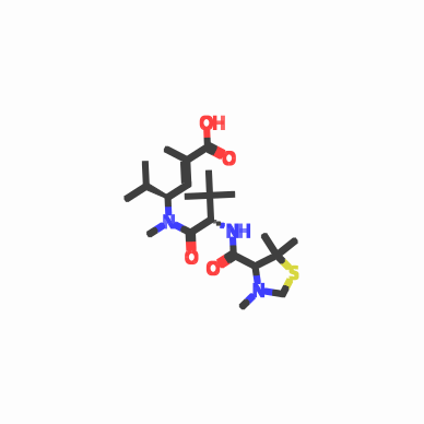 C/C(=C\[C@H](C(C)C)N(C)C(=O)[C@@H](NC(=O)C1N(C)CSC1(C)C)C(C)(C)C)C(=O)O